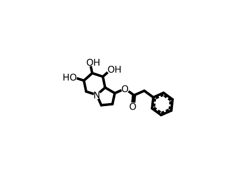 O=C(Cc1ccccc1)OC1CCN2CC(O)C(O)C(O)C12